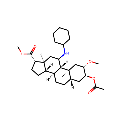 COC(=O)[C@H]1CC[C@H]2[C@@H]3CC[C@H]4C[C@H](OC(C)=O)[C@@H](OC)C[C@]4(C)[C@H]3[C@H](NC3CCCCC3)C[C@]12C